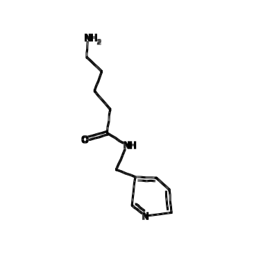 NCCCCC(=O)NCc1cccnc1